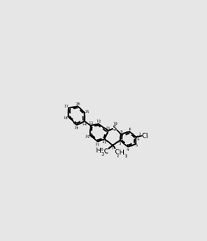 CC1(C)c2ccc(Cl)cc2Sc2cc(-c3ccccc3)ccc21